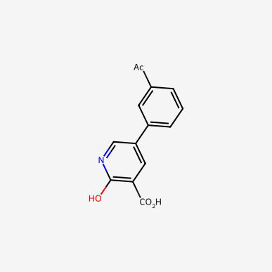 CC(=O)c1cccc(-c2cnc(O)c(C(=O)O)c2)c1